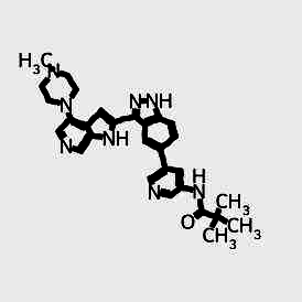 CN1CCN(c2cncc3[nH]c(-c4n[nH]c5ccc(-c6cncc(NC(=O)C(C)(C)C)c6)cc45)cc23)CC1